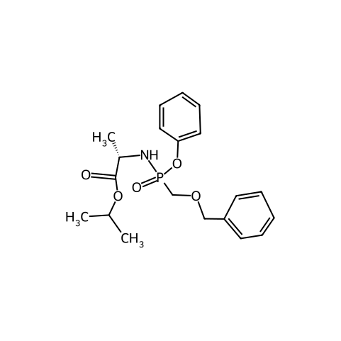 CC(C)OC(=O)[C@H](C)NP(=O)(COCc1ccccc1)Oc1ccccc1